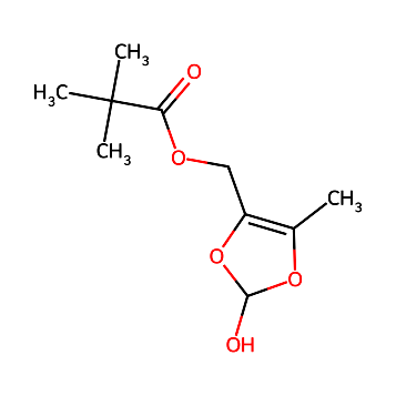 CC1=C(COC(=O)C(C)(C)C)OC(O)O1